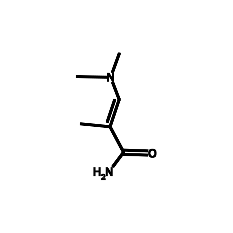 C/C(=C\N(C)C)C(N)=O